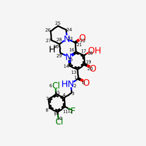 O=C(NCc1c(Cl)ccc(Cl)c1F)c1cn2c(c(O)c1=O)C(=O)N1CCCC[C@@H]1C2